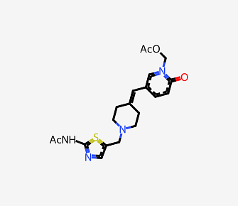 CC(=O)Nc1ncc(CN2CCC(=Cc3ccc(=O)n(COC(C)=O)c3)CC2)s1